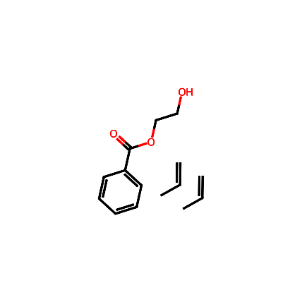 C=CC.C=CC.O=C(OCCO)c1ccccc1